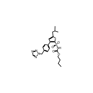 CCCCOC(=O)NS(=O)(=O)c1sc(CC(C)C)cc1-c1ccc(Cn2ncnn2)cc1